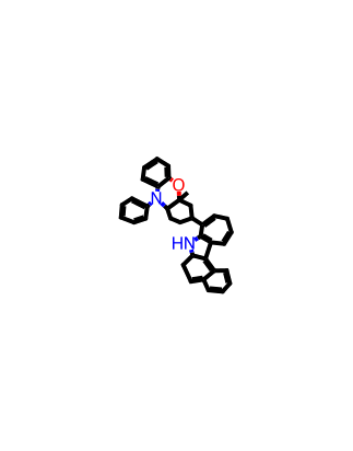 CC12CC(C3=CCC=CC4=C3NC3CC=c5ccccc5=C43)CCC1N(c1ccccc1)c1ccccc1O2